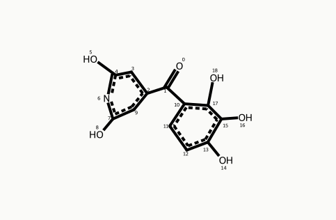 O=C(c1cc(O)nc(O)c1)c1ccc(O)c(O)c1O